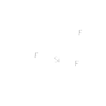 C=CC(F)[Si](C)(F)F